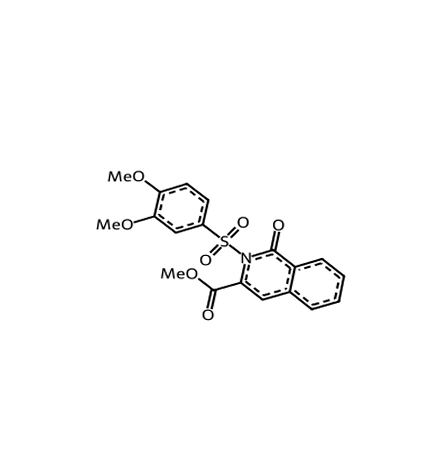 COC(=O)c1cc2ccccc2c(=O)n1S(=O)(=O)c1ccc(OC)c(OC)c1